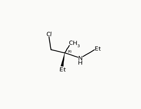 CCN[C@](C)(CC)CCl